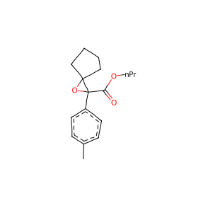 CCCOC(=O)C1(c2ccc(C)cc2)OC12CCCC2